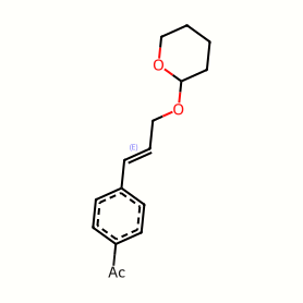 CC(=O)c1ccc(/C=C/COC2CCCCO2)cc1